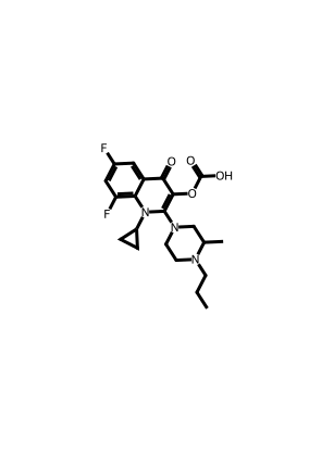 CCCN1CCN(c2c(OC(=O)O)c(=O)c3cc(F)cc(F)c3n2C2CC2)CC1C